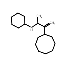 C=C(C1CCCCCCC1)C(C)NC1CCCCC1